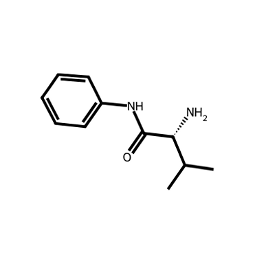 CC(C)[C@@H](N)C(=O)Nc1ccccc1